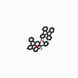 c1ccc(N(c2ccc3c(c2)C2(c4ccccc4-c4ccccc42)c2ccccc2-3)c2ccc3c4ccccc4c4ccccc4c3c2)c(-c2cc3ccccc3s2)c1